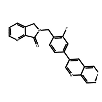 O=C1c2ncccc2CN1Cc1ccc(-c2cnc3ccccc3c2)cc1F